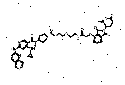 O=C(COc1cccc2c1C(=O)N(C1CCC(=O)NC1=O)C2=O)NCCOCCNC(=O)[C@H]1CC[C@H](NC(=O)c2cnc(Nc3ccc4cnccc4n3)cc2NC2CC2)CC1